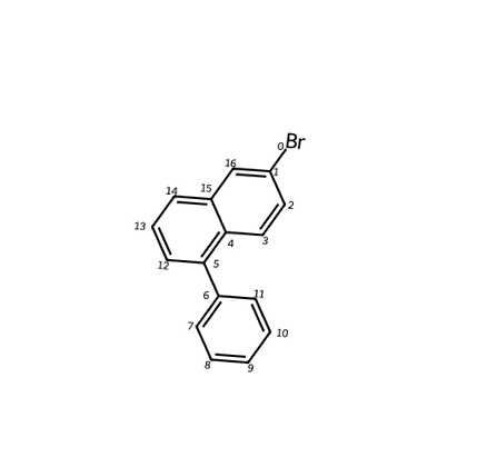 Brc1ccc2c(-c3ccccc3)cccc2c1